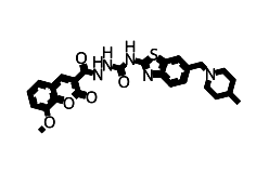 COc1cccc2cc(C(=O)NNC(=O)Nc3nc4ccc(CN5CCC(C)CC5)cc4s3)c(=O)oc12